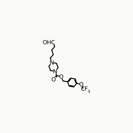 O=CCCCCN1CCN(C(=O)OCc2ccc(OC(F)(F)F)cc2)CC1